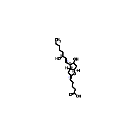 CCCCC[C@H](O)/C=C/[C@H]1C(O)C[C@H]2O/C(=C\CCCC(=O)O)C[C@@H]21